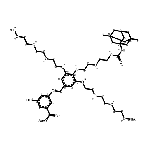 COC(=O)c1cc(O)cc(OCc2cc(OCCOCCOCCOC(C)(C)C)c(OCCOCCOC(=O)NC34CC5CC(C)(CC(C)(C5)C3)C4)c(OCCOCCOCCOC(C)(C)C)c2)c1